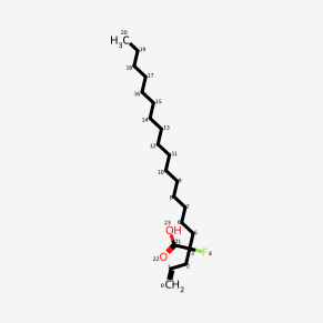 C=CCC(F)(CCCCCCCCCCCCCCCC)C(=O)O